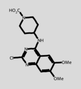 COc1cc2nc(Cl)nc(NC3CCN(C(=O)O)CC3)c2cc1OC